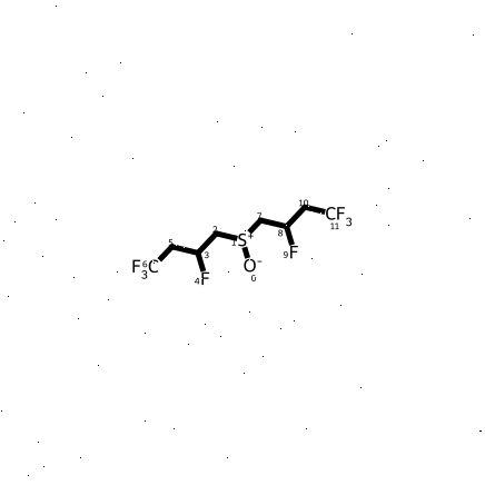 [O-][S+](CC(F)CC(F)(F)F)CC(F)CC(F)(F)F